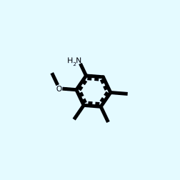 COc1c(N)cc(C)c(C)c1C